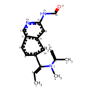 C=C(C)N(C)/C(=C\C)c1ccc2cnc(NC=O)cc2c1